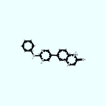 O=c1cnc2cc(-c3cnc(Oc4ccccc4)nc3)ccc2[nH]1